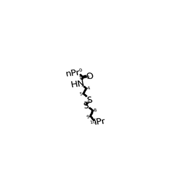 CCCC(=O)NCCSSCCC(C)C